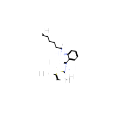 C=CCCCCC(=C)Nc1ccccc1C(=C)NC(C)SC(C)=C(C)C